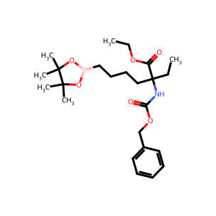 CCOC(=O)C(CC)(CCCCB1OC(C)(C)C(C)(C)O1)NC(=O)OCc1ccccc1